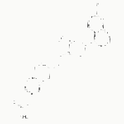 C[C@@H]1CN(c2cccc3cc(F)ccc23)CCN1CCC1Cc2cc(CC(N)=O)ccc2CO1